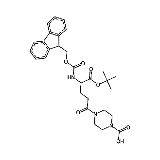 CC(C)(C)OC(=O)C(CCC(=O)N1CCN(C(=O)O)CC1)NC(=O)OCC1c2ccccc2-c2ccccc21